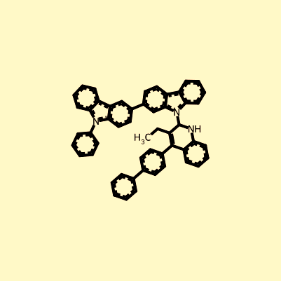 CCC1=C(c2ccc(-c3ccccc3)cc2)c2ccccc2NC1n1c2ccccc2c2ccc(-c3ccc4c(c3)c3ccccc3n4-c3ccccc3)cc21